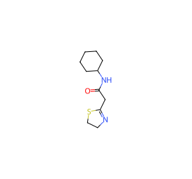 O=C(CC1=NCCS1)NC1CCCCC1